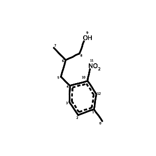 Cc1ccc(CC(C)CO)c([N+](=O)[O-])c1